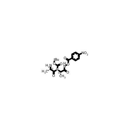 C[C@H](N)C(=O)N(C(=O)OC(C)(C)C)[C@@H](C)C(=O)NOC(=O)c1ccc([N+](=O)[O-])cc1